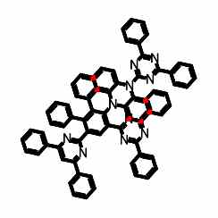 c1ccc(-c2cc(-c3ccccc3)nc(-c3cc(-c4nc(-c5ccccc5)nc(-c5ccccc5)n4)c(N4c5ccccc5N(c5nc(-c6ccccc6)nc(-c6ccccc6)n5)c5ccccc54)c(-c4ccccc4)c3-c3ccccc3)n2)cc1